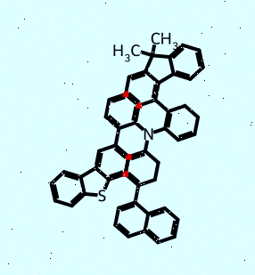 CC1(C)c2ccccc2-c2c(C3=C(N(C4=CC=C(c5cccc6ccccc56)CC4)c4ccccc4-c4ccc5sc6ccccc6c5c4)C=CCC3)cccc21